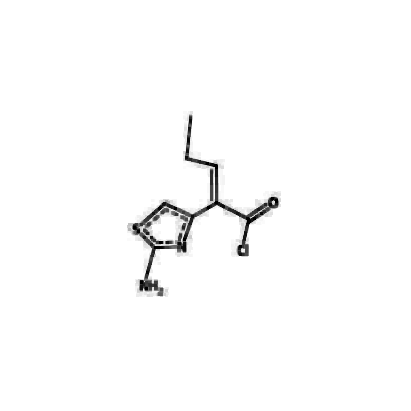 CC/C=C(/C(=O)Cl)c1csc(N)n1